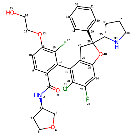 O=C(N[C@@H]1CCOC1)c1ccc(OCCO)c(F)c1-c1c(Cl)c(F)cc2c1C[C@](c1ccccc1)([C@@H]1CCCN1)O2